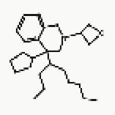 CCCCCC(CCC)C1(C2CCCC2)CN(C2COC2)Cc2ccccc21